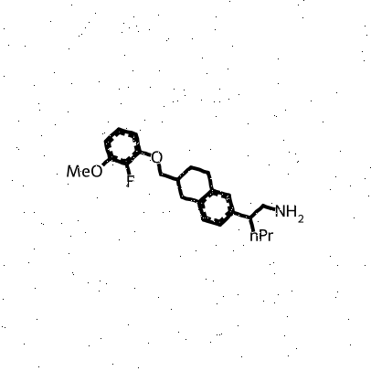 CCCC(CN)c1ccc2c(c1)CCC(COc1cccc(OC)c1F)C2